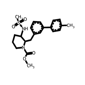 COC(=O)N1CCCC(NS(C)(=O)=O)C1Cc1cccc(-c2ccc(C)cc2)c1